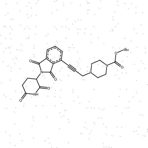 CC(C)(C)OC(=O)N1CCN(CC#Cc2cccc3c2C(=O)N(C2CCC(=O)NC2=O)C3=O)CC1